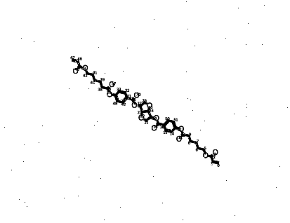 C=CC(=O)OCCCCCC(=O)Oc1ccc(C(=O)O[C@H]2COC3C2OC[C@H]3OC(=O)c2ccc(OC(=O)CCCCCOC(=O)C=C)cc2)cc1